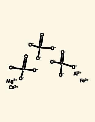 O=P([O-])([O-])[O-].O=P([O-])([O-])[O-].O=P([O-])([O-])[O-].[Al+3].[Ca+2].[Fe+2].[Mg+2]